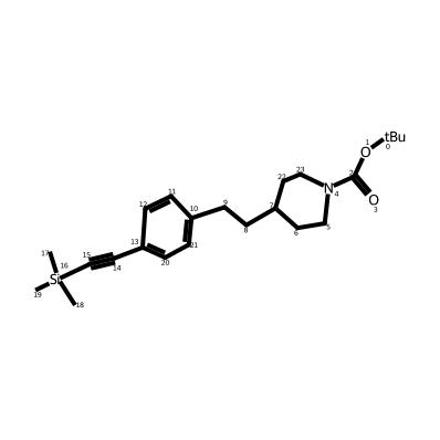 CC(C)(C)OC(=O)N1CCC(CCc2ccc(C#C[Si](C)(C)C)cc2)CC1